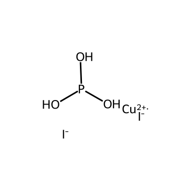 OP(O)O.[Cu+2].[I-].[I-]